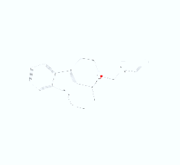 O=CNCCC12CCCn3c1c(c1ccccc13)CCO2